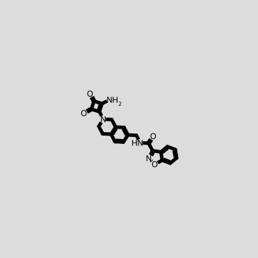 Nc1c(N2CCc3ccc(CNC(=O)c4noc5ccccc45)cc3C2)c(=O)c1=O